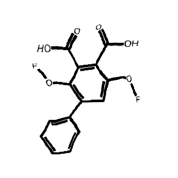 O=C(O)c1c(OF)cc(-c2ccccc2)c(OF)c1C(=O)O